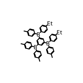 CCc1ccc(B(c2ccc(C)cc2)c2cc(B(c3ccc(C)cc3)c3ccc(C)cc3)cc(B(c3ccc(C)cc3)c3ccc(CC)cc3)c2)cc1